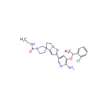 CCNC(=O)N1CCC2(CCn3nc(-c4cnc(N)c(OC(C)c5ccccc5Cl)c4)cc32)C1